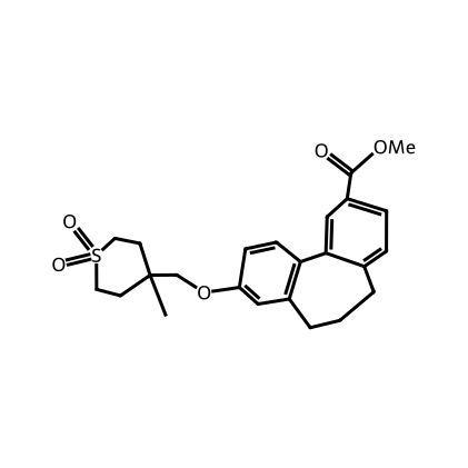 COC(=O)c1ccc2c(c1)-c1ccc(OCC3(C)CCS(=O)(=O)CC3)cc1CCC2